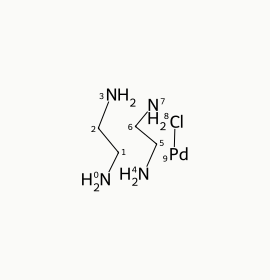 NCCN.NCCN.[Cl][Pd]